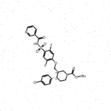 CC(C)(C)OC(=O)N1CC[C@H](c2ccc(Cl)cc2)[C@@H](COc2cc(F)c(S(=O)(=O)NC(=O)c3cccnc3)cc2F)C1